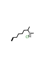 C=CCCCCC(C)[SiH](C)Cl